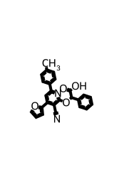 Cc1ccc(-c2cc(-c3ccco3)c(C#N)c(OC(C(=O)O)c3ccccc3)n2)cc1